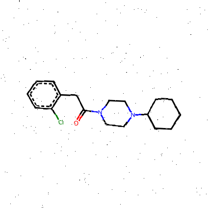 O=C([CH]c1ccccc1Cl)N1CCN(C2CCCCC2)CC1